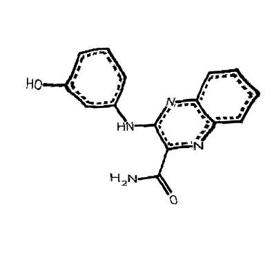 NC(=O)c1nc2ccccc2nc1Nc1cccc(O)c1